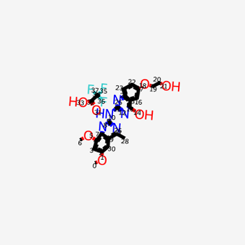 COc1cc(OC)c2nc(Nc3nc(O)c4cc(OCCO)ccc4n3)nc(C)c2c1.O=C(O)C(F)(F)F